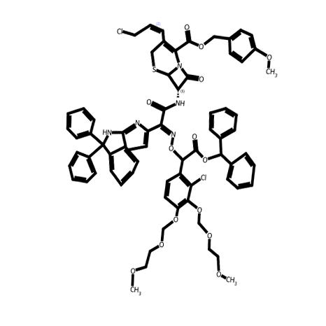 COCCOCOc1ccc(C(ON=C(C(=O)N[C@H]2C(=O)N3C(C(=O)OCc4ccc(OC)cc4)=C(/C=C\CCl)CSC23)c2csc(NC(c3ccccc3)(c3ccccc3)c3ccccc3)n2)C(=O)OC(c2ccccc2)c2ccccc2)c(Cl)c1OCOCCOC